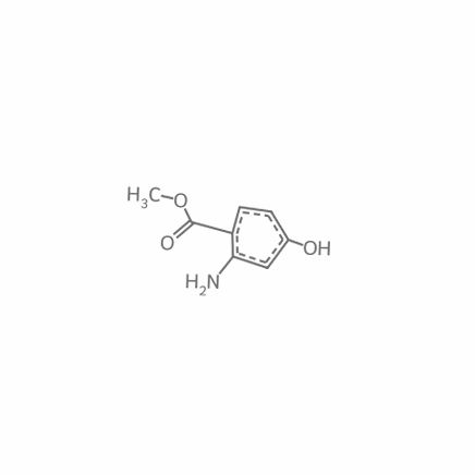 COC(=O)c1ccc(O)cc1N